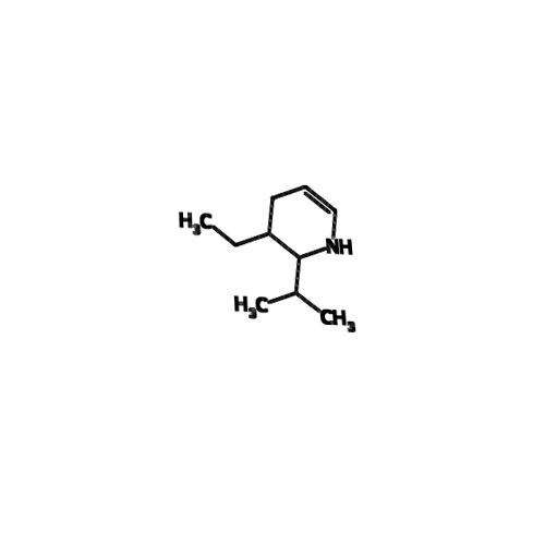 CCC1CC=CNC1C(C)C